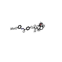 COc1cccc(/C=C/C(=O)c2ccc(OCC(=O)N[C@@H]3O[C@@H]4O[C@]5(C)CC[C@H]6[C@H](C)CC[C@@H]([C@H]3C)[C@@]46OO5)cc2)c1